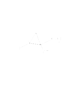 O=C(O)C1(C(F)(F)F)CC1I